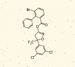 O=C(OC1=NOC(c2cc(Cl)cc(Cl)c2)(C(F)(F)F)C1)c1cccc(Br)c1-c1ccccc1